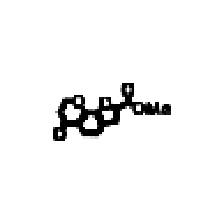 COC(=O)C1Cc2ccc3c(c2O1)OCCC3=O